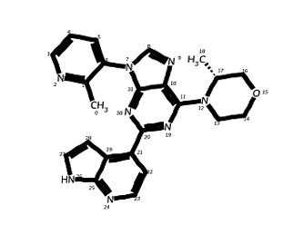 Cc1ncccc1-n1cnc2c(N3CCOC[C@H]3C)nc(-c3ccnc4[nH]ccc34)nc21